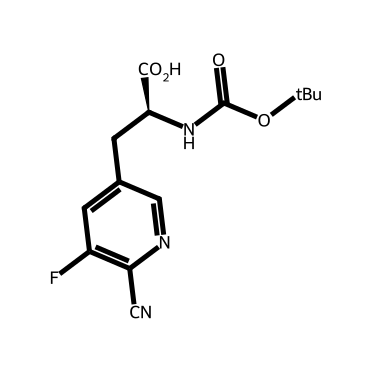 CC(C)(C)OC(=O)N[C@@H](Cc1cnc(C#N)c(F)c1)C(=O)O